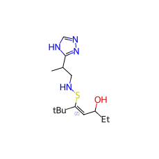 CCC(O)/C=C(\SNCC(C)c1nnc[nH]1)C(C)(C)C